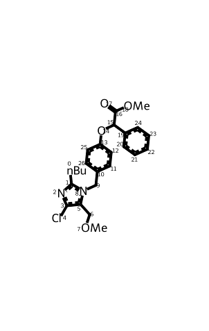 CCCCc1nc(Cl)c(COC)n1Cc1ccc(OC(C(=O)OC)c2ccccc2)cc1